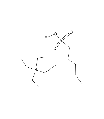 CCCCCS(=O)(=O)OF.CC[N+](CC)(CC)CC